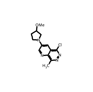 COC1CCN(c2cnc3c(C)nnc(Cl)c3c2)C1